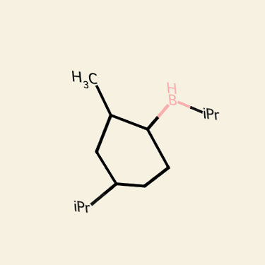 CC(C)BC1CCC(C(C)C)CC1C